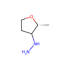 C[C@H]1OCCC1NN